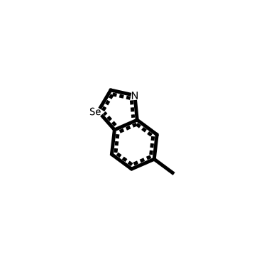 Cc1ccc2[se]cnc2c1